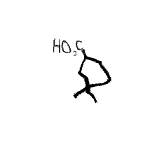 CC1(C)CCC(C(=O)O)C1